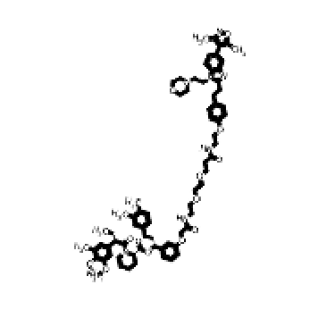 CC[C@H](C(=O)N1CCCC[C@H]1C(=O)O[C@H](CCc1ccc(C)c(C)c1)c1cccc(OCC(=O)NCCOCCOCCC(=O)NCCOc2ccc(CCc3nc4cc(-c5c(C)noc5C)ccc4n3CCN3CCOCC3)cc2)c1)c1cc(C)c(OC)c(OC)c1